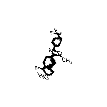 Cc1oc(-c2ccc(C(F)(F)F)cc2)nc1-c1ccc2c(Br)c(O)ccc2c1